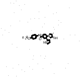 C[C@H]1CN(c2ccc(C(=O)Nc3ccc(OC(F)(F)F)cc3)cc2-c2ccc[nH]2)C[C@@H]1O